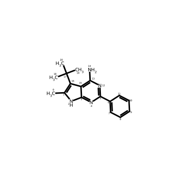 Cc1[nH]c2nc(-c3ccccc3)nc(N)c2c1C(C)(C)C